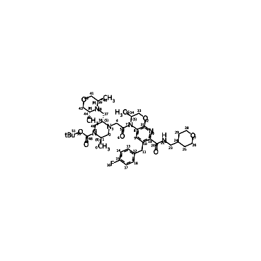 C[C@@H]1CN(CC(=O)N2c3cc(Cc4ccc(F)cc4)c(C(=O)NCC4CCOCC4)nc3OC[C@@H]2C)[C@@H](CN2[C@H](C)COC[C@H]2C)CN1C(=O)OC(C)(C)C